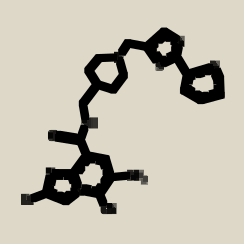 CCc1cn2c(C#N)c(N)cc(C(=O)NCC3CCN(Cc4cnc(-c5ccccn5)s4)CC3)c2n1